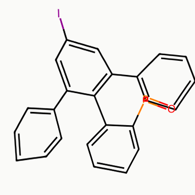 O=Pc1ccccc1-c1c(-c2ccccc2)cc(I)cc1-c1ccccc1